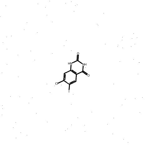 O=c1[nH]c(=O)c2cc(I)c(Cl)cc2[nH]1